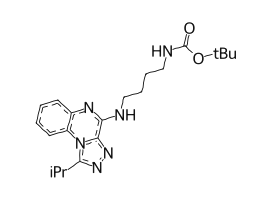 CC(C)c1nnc2c(NCCCCNC(=O)OC(C)(C)C)nc3ccccc3n12